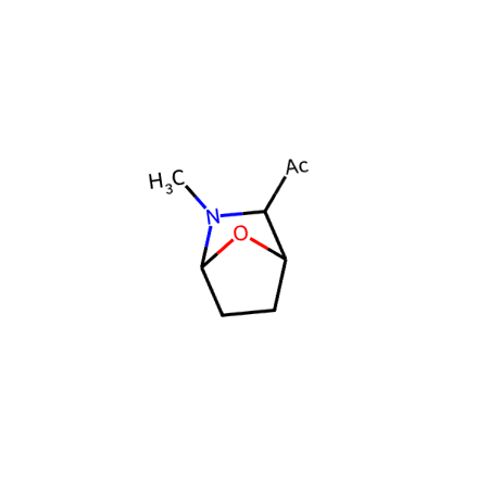 CC(=O)C1C2CCC(O2)N1C